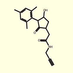 C#CCNC(=O)CC1CC(O)C(c2c(C)cc(C)cc2C)C1=O